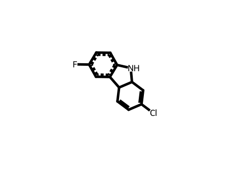 Fc1ccc2c(c1)C1C=CC(Cl)=CC1N2